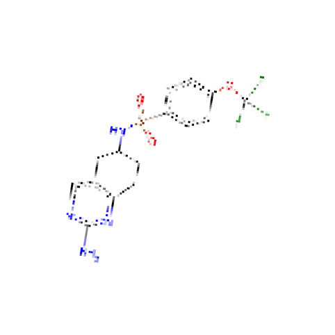 Nc1ncc2c(n1)CCC(NS(=O)(=O)c1ccc(OC(F)(F)F)cc1)C2